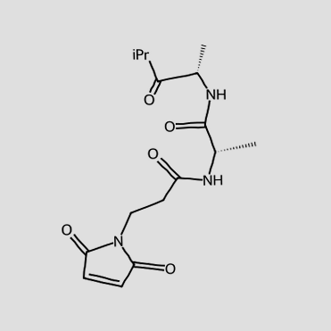 CC(C)C(=O)[C@H](C)NC(=O)[C@H](C)NC(=O)CCN1C(=O)C=CC1=O